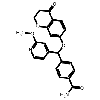 COc1cc(C(Oc2ccc3c(c2)OCCC3=O)c2ccc(C(N)=O)cc2)ccn1